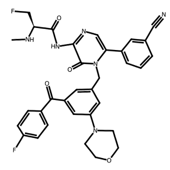 CN[C@@H](CF)C(=O)Nc1ncc(-c2cccc(C#N)c2)n(Cc2cc(C(=O)c3ccc(F)cc3)cc(N3CCOCC3)c2)c1=O